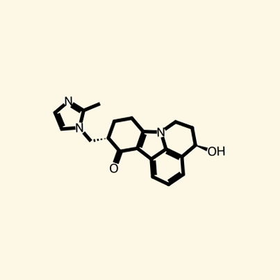 Cc1nccn1C[C@@H]1CCc2c(c3cccc4c3n2CC[C@H]4O)C1=O